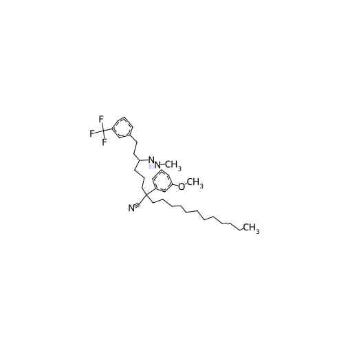 CCCCCCCCCCCCC(C#N)(CCCC(CCc1cccc(C(F)(F)F)c1)/N=N/C)c1cccc(OC)c1